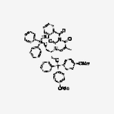 COc1ccc(C(OC[C@H](CO[Si](c2ccccc2)(c2ccccc2)C(C)(C)C)n2cc(C)c(=O)n(C(=O)c3ccccc3)c2=O)(c2ccccc2)c2ccc(OC)cc2)cc1